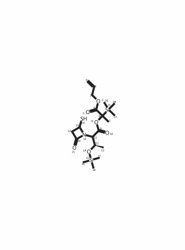 C=CCOC(=O)C(C)(OC(=O)C([C@@H](C)O[Si](C)(C)C)N1C(=O)CC1S)[Si](C)(C)C